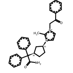 Cc1n([C@H]2CC[C@@H](C(C(N)=O)(c3ccccc3)c3ccccc3)C2)cc[n+]1CC(=O)c1ccccc1